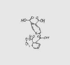 C=O.O=C(O)c1ccccc1C(=O)O.O=C(O)c1ccccc1C(=O)O